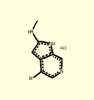 CNc1cc2c(Br)cncc2[nH]1.Cl